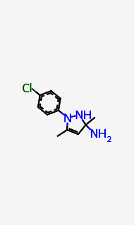 CC1=CC(C)(N)NN1c1ccc(Cl)cc1